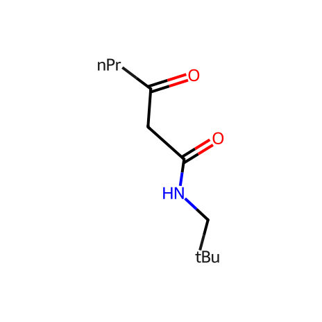 CCCC(=O)CC(=O)NCC(C)(C)C